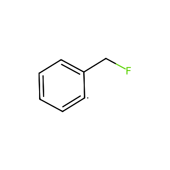 FCc1[c]cccc1